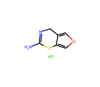 Cl.NC1=NCc2cocc2S1